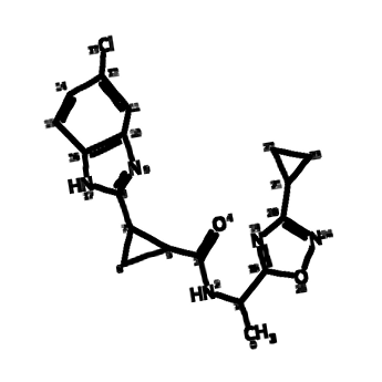 CC(NC(=O)C1CC1c1nc2cc(Cl)ccc2[nH]1)c1nc(C2CC2)no1